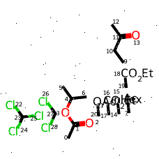 CC(=O)OC(C)C.CC(C)=O.CCC(C)=O.CCCCCCC.CCOC(C)=O.CCOC(C)=O.COC(C)=O.ClC(Cl)Cl.ClCCl